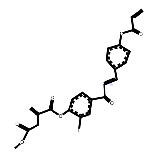 C=CC(=O)Oc1ccc(/C=C/C(=O)c2ccc(OC(=O)C(=C)CC(=O)OC)c(F)c2)cc1